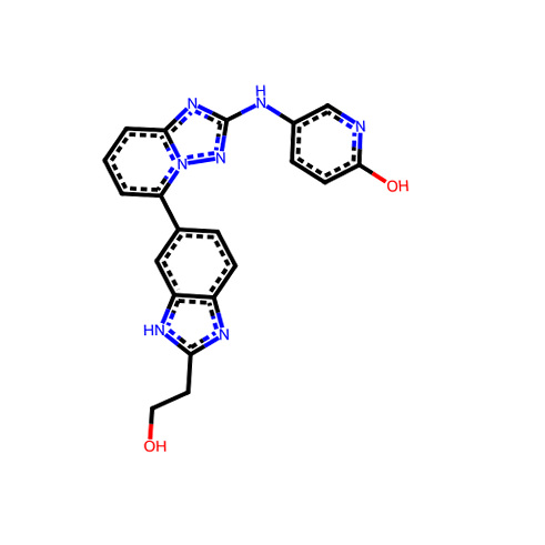 OCCc1nc2ccc(-c3cccc4nc(Nc5ccc(O)nc5)nn34)cc2[nH]1